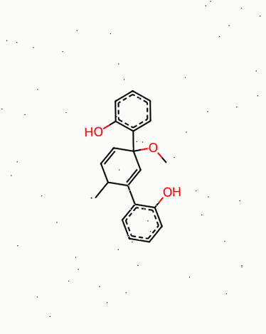 [CH2]C1C=CC(OC)(c2ccccc2O)C=C1c1ccccc1O